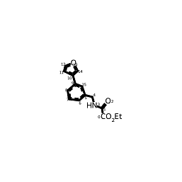 CCOC(=O)C(=O)NCc1cccc(-c2ccoc2)c1